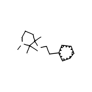 CN1CCCC(C)(OCCc2ccccc2)C1(C)C